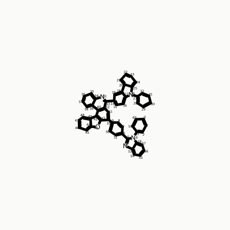 c1ccc(-n2c(-c3ccc(-c4cc5c(-c6ccc7c(c6)c6ccccc6n7-c6ccccc6)nc6ccccc6c5c5c4oc4ccccc45)cc3)nc3ccccc32)cc1